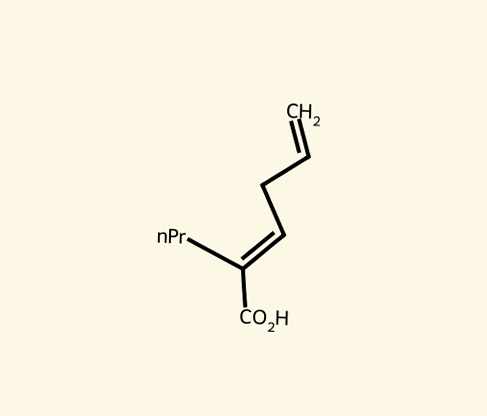 C=CC/C=C(\CCC)C(=O)O